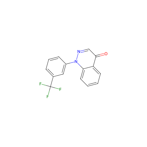 O=c1cnn(-c2cccc(C(F)(F)F)c2)c2ccccc12